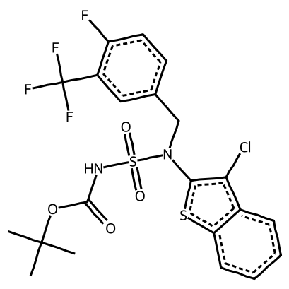 CC(C)(C)OC(=O)NS(=O)(=O)N(Cc1ccc(F)c(C(F)(F)F)c1)c1sc2ccccc2c1Cl